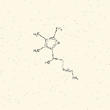 C/C=C/CC(O)c1oc(C)c(C)c1C